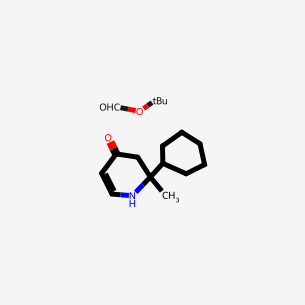 CC(C)(C)OC=O.CC1(C2CCCCC2)CC(=O)C=CN1